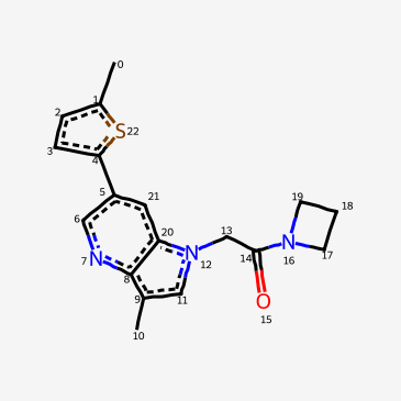 Cc1ccc(-c2cnc3c(C)cn(CC(=O)N4CCC4)c3c2)s1